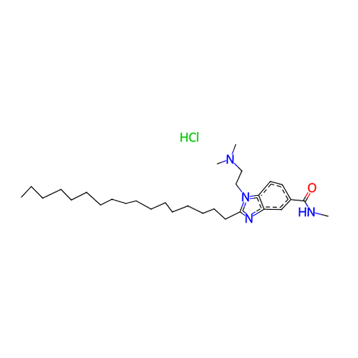 CCCCCCCCCCCCCCCCCc1nc2cc(C(=O)NC)ccc2n1CCN(C)C.Cl